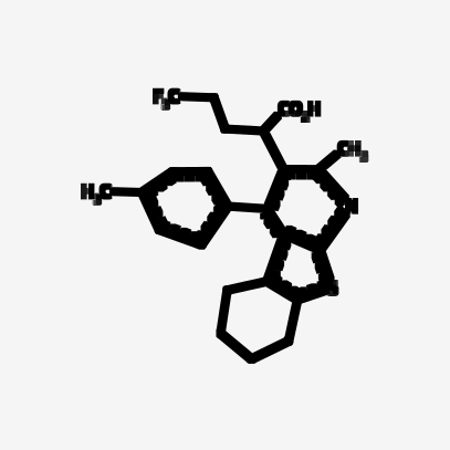 Cc1ccc(-c2c(C(CCC(F)(F)F)C(=O)O)c(C)nc3sc4c(c23)CCCC4)cc1